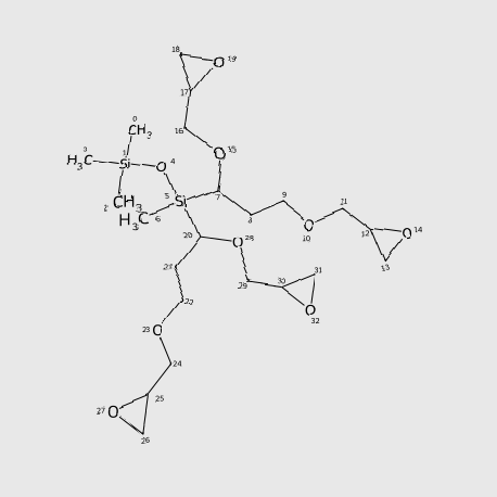 C[Si](C)(C)O[Si](C)(C(CCOCC1CO1)OCC1CO1)C(CCOCC1CO1)OCC1CO1